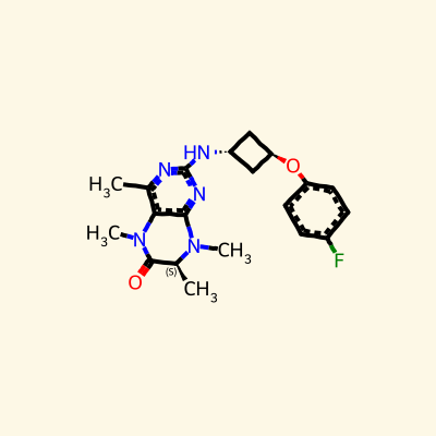 Cc1nc(N[C@H]2C[C@H](Oc3ccc(F)cc3)C2)nc2c1N(C)C(=O)[C@H](C)N2C